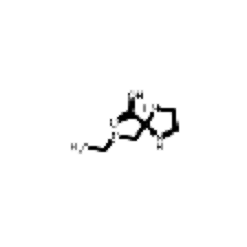 CCOCC1(C(=O)O)NCCN1